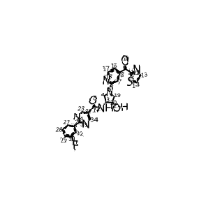 O=C(NC1CN(c2cc(C(=O)c3nccs3)ccn2)CC1O)c1cnc(-c2cccc(F)c2)nc1